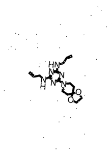 C=CCNc1nc(NCC=C)nc(N2CCC3(CC2)OCCO3)n1